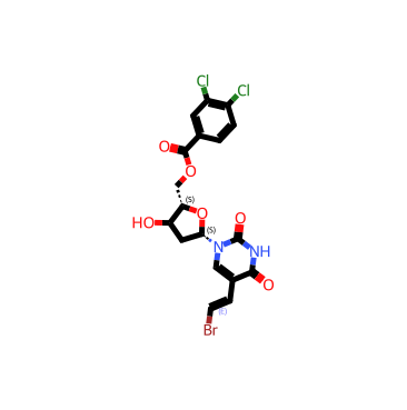 O=C(OC[C@@H]1O[C@H](n2cc(/C=C/Br)c(=O)[nH]c2=O)CC1O)c1ccc(Cl)c(Cl)c1